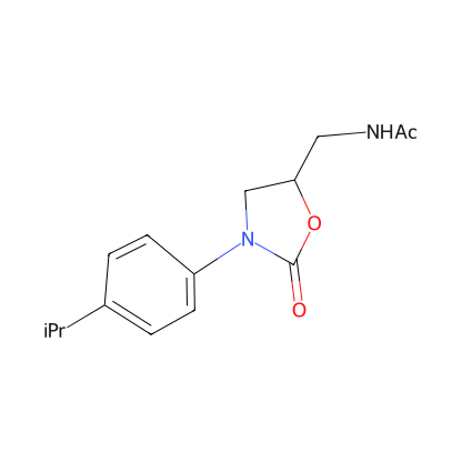 CC(=O)NCC1CN(c2ccc(C(C)C)cc2)C(=O)O1